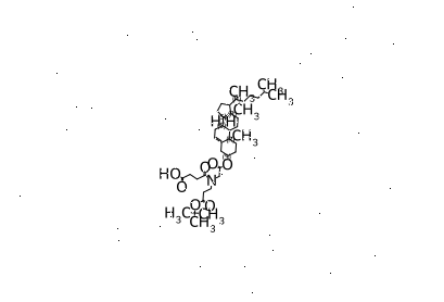 CC(C)CCC[C@@H](C)C1CC[C@H]2[C@@H]3CC=C4C[C@@H](OC(=O)CN(CCC(=O)OC(C)(C)C)C(=O)CCC(=O)O)CC[C@]4(C)C3CC[C@]12C